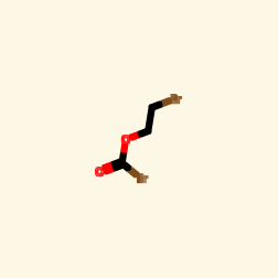 O=C(Br)OCCBr